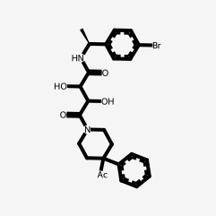 CC(=O)C1(c2ccccc2)CCN(C(=O)C(O)C(O)C(=O)N[C@@H](C)c2ccc(Br)cc2)CC1